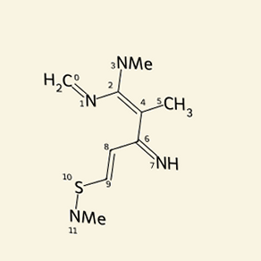 C=N/C(NC)=C(/C)C(=N)/C=C/SNC